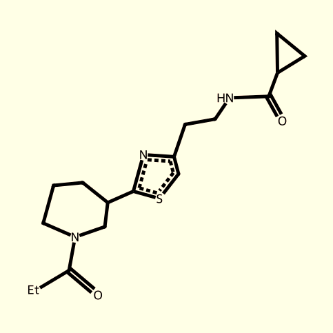 CCC(=O)N1CCCC(c2nc(CCNC(=O)C3CC3)cs2)C1